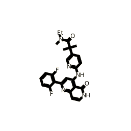 CCN(C)C(=O)C(C)(C)c1ccc(Nc2cc(-c3c(F)cccc3F)nc3cc[nH]c(=O)c23)nc1